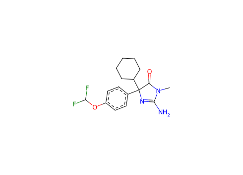 CN1C(=O)C(c2ccc(OC(F)F)cc2)(C2CCCCC2)N=C1N